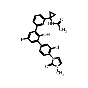 CC(=O)NC1(c2cccc(-c3cc(F)cc(-c4ccc(-n5ccn(C)c5=O)c(Cl)c4)c3O)c2)CC1